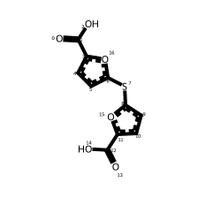 O=C(O)c1ccc(Sc2ccc(C(=O)O)o2)o1